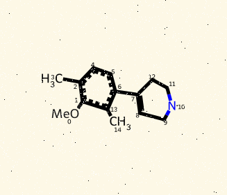 COc1c(C)ccc(C2=CC[N]CC2)c1C